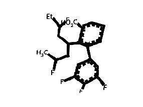 CCC(F)CC(CC(C)F)c1c(C(=O)O)cccc1-c1cc(F)c(F)c(F)c1